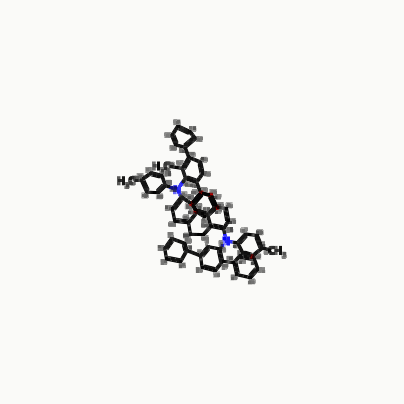 Cc1ccc(N(c2cc(-c3ccccc3)ccc2-c2ccccc2)c2ccc3ccc4c(N(c5ccc(C)cc5)c5c(-c6ccccc6)ccc(-c6ccccc6)c5C)ccc5c4c3c2CC5)cc1